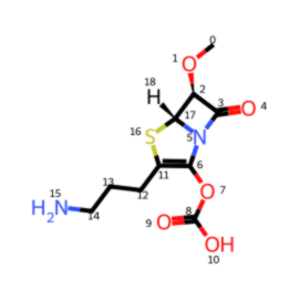 CO[C@H]1C(=O)N2C(OC(=O)O)=C(CCCN)S[C@H]12